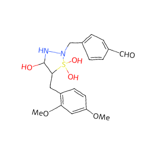 COc1ccc(CC2C(O)NN(Cc3ccc(C=O)cc3)S2(O)O)c(OC)c1